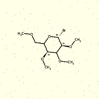 COCC1O[C@H](Br)[C@@H](OC)C(OC)[C@H]1OC